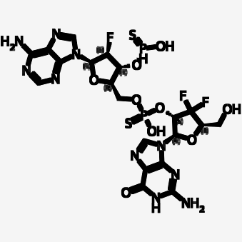 Nc1nc2c(ncn2[C@@H]2O[C@H](CO)C(F)(F)[C@H]2OP(O)(=S)OC[C@H]2O[C@@H](n3cnc4c(N)ncnc43)[C@@H](F)[C@@H]2O[PH](O)=S)c(=O)[nH]1